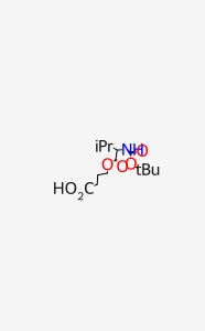 CC(C)C(NC(=O)OC(C)(C)C)C(=O)OCCCC(=O)O